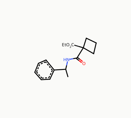 CCOC(=O)C1(C(=O)NC(C)c2ccccc2)CCC1